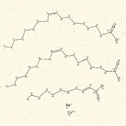 CCCCCCCC/C=C\CCCCCCCC(=O)[O-].CCCCCCCC/C=C\CCCCCCCC(=O)[O-].CCCCCCCCC=CC(=O)[O-].[Cu+2].[Na+]